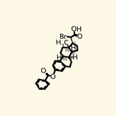 C[C@]12CC[C@@H]3c4ccc(OC(=O)c5ccccc5)cc4CC[C@H]3[C@@H]1CC[C@@H]2C(Br)C(=O)O